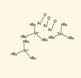 CC(=O)[O-].CC(=O)[O-].CC(=O)[O-].CCC[CH2][Sn+]([CH2]CCC)[CH2]CCC.CCC[CH2][Sn+]([CH2]CCC)[CH2]CCC.CCC[CH2][Sn+]([CH2]CCC)[CH2]CCC